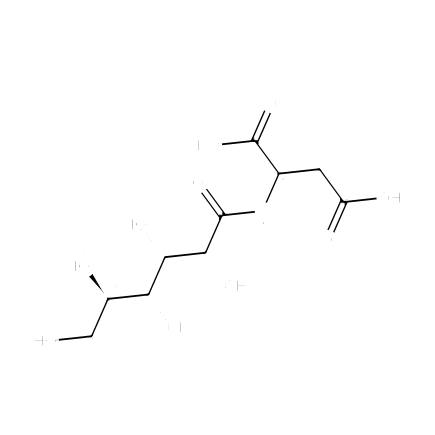 O=C(O)CC(OC(=O)[C@H](O)[C@@H](O)[C@H](O)[C@H](O)CO)C(=O)O